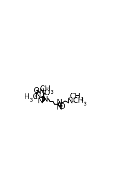 CCN(CC)CCc1nc(CCCCn2cnc3c2c(=O)n(C)c(=O)n3C)no1